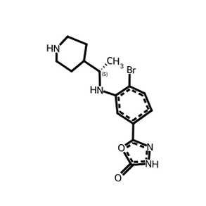 C[C@H](Nc1cc(-c2n[nH]c(=O)o2)ccc1Br)C1CCNCC1